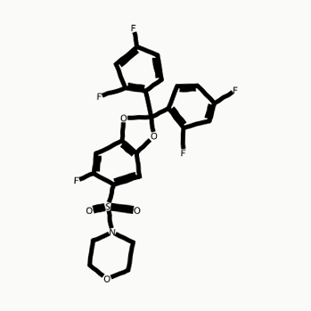 O=S(=O)(c1cc2c(cc1F)OC(c1ccc(F)cc1F)(c1ccc(F)cc1F)O2)N1CCOCC1